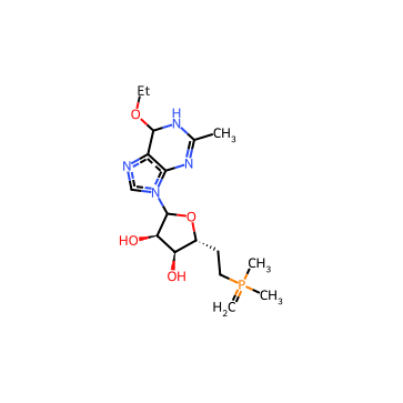 C=P(C)(C)CC[C@H]1OC(n2cnc3c2N=C(C)NC3OCC)[C@H](O)[C@@H]1O